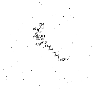 CCCCCCCCCCCCCCCCCCOC[C@@H](O)COP(=O)(O)OC[C@@H](O)CO